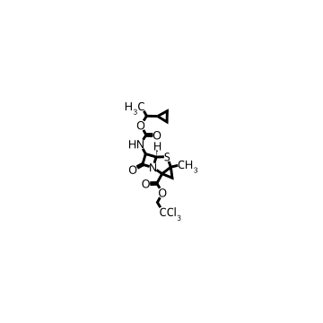 CC(OC(=O)NC1C(=O)N2[C@@H]1SC1(C)CC21C(=O)OCC(Cl)(Cl)Cl)C1CC1